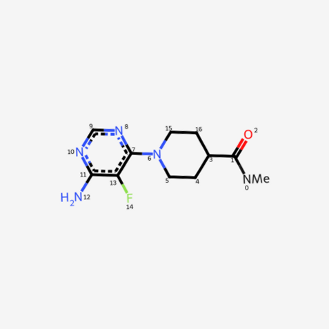 CNC(=O)C1CCN(c2ncnc(N)c2F)CC1